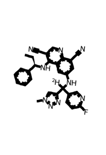 [2H]C(Nc1cc(C#N)c2ncc(C#N)c(N[C@H](CC)c3ccccc3)c2c1)(c1ccc(F)nc1)c1cn(C)nn1